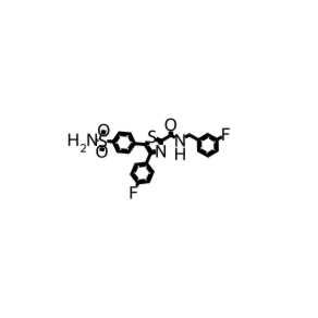 NS(=O)(=O)c1ccc(-c2sc(C(=O)NCc3cccc(F)c3)nc2-c2ccc(F)cc2)cc1